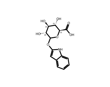 O=C(O)[C@H]1OC(Oc2cc3ccccc3[nH]2)[C@H](O)[C@@H](O)[C@@H]1O